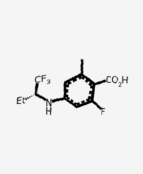 CC[C@@H](Nc1cc(C)c(C(=O)O)c(F)c1)C(F)(F)F